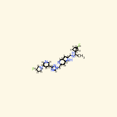 CC(NCc1cc2cnc(Cn3cnc(-c4cncc(N5CC[C@H](F)C5)c4)n3)cc2[nH]1)C12CC(F)C(C1)C2